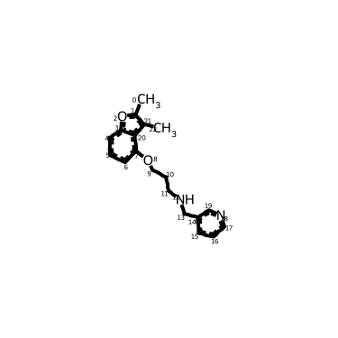 Cc1oc2cccc(OCCCNCc3cccnc3)c2c1C